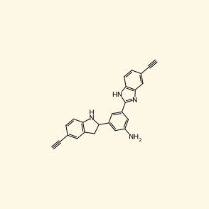 C#Cc1ccc2c(c1)CC(c1cc(N)cc(-c3nc4cc(C#C)ccc4[nH]3)c1)N2